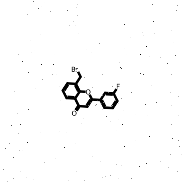 O=c1cc(-c2cccc(F)c2)oc2c(CBr)cccc12